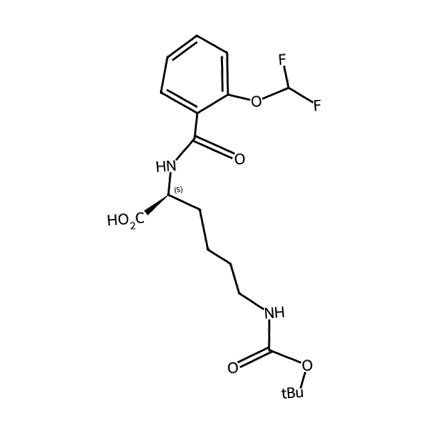 CC(C)(C)OC(=O)NCCCC[C@H](NC(=O)c1ccccc1OC(F)F)C(=O)O